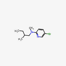 CCC(C)CN(C)c1ccc(Br)cn1